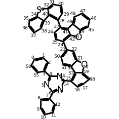 c1ccc(-c2nc(-c3ccccc3)nc(-c3cccc4oc5cc(-c6ccc(-c7cccc8sc9ccccc9c78)c7c6oc6ccccc67)ccc5c34)n2)cc1